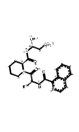 CC(C)[C@H](NC(=O)c1nccc2ccccc12)C(=O)N1CCCC[C@H]1C(=O)N[C@H](C=O)CC(=O)O